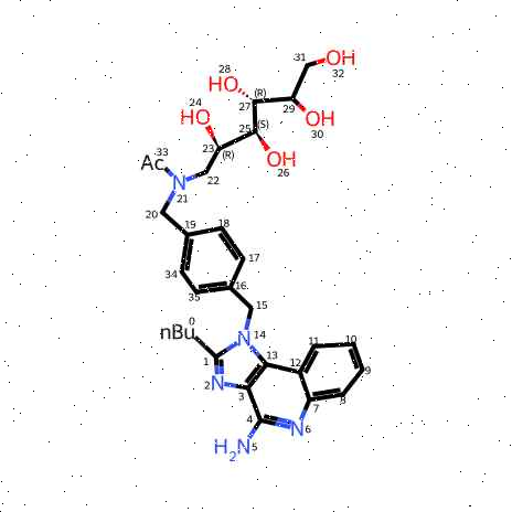 CCCCc1nc2c(N)nc3ccccc3c2n1Cc1ccc(CN(C[C@@H](O)[C@H](O)[C@H](O)C(O)CO)C(C)=O)cc1